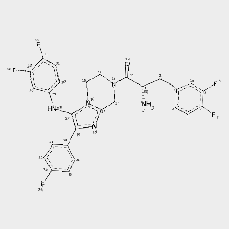 N[C@@H](Cc1ccc(F)c(F)c1)C(=O)N1CCn2c(nc(-c3ccc(F)cc3)c2Nc2ccc(F)c(F)c2)C1